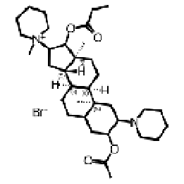 CCC(=O)OC1C([N+]2(C)CCCCC2)C[C@H]2[C@@H]3CCC4CC(OC(C)=O)C(N5CCCCC5)C[C@]4(C)[C@@H]3CC[C@]12C.[Br-]